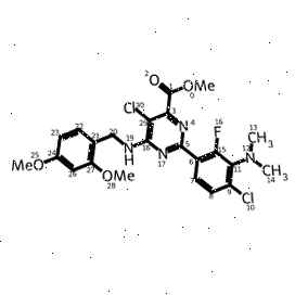 COC(=O)c1nc(-c2ccc(Cl)c(N(C)C)c2F)nc(NCc2ccc(OC)cc2OC)c1Cl